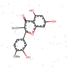 COc1ccc(-c2oc3cc(O)cc(O)c3c(=O)c2OC(C)=O)cc1O